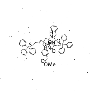 COC(=O)Cc1cccc(NC(=O)C(CSC(c2ccccc2)(c2ccccc2)c2ccccc2)NC(=O)C(Cc2ccccc2)NC(=O)CC(O)C=CCCSC(c2ccccc2)(c2ccccc2)c2ccccc2)c1